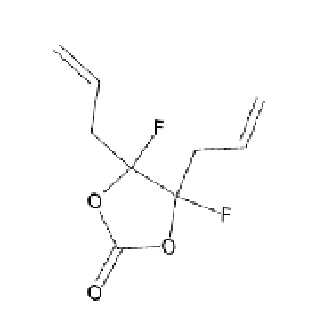 C=CCC1(F)OC(=O)OC1(F)CC=C